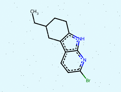 CCC1CCc2[nH]c3nc(Br)ccc3c2C1